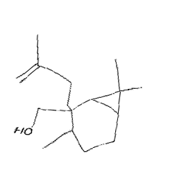 C=C(C)CC1(CO)C(C)CCC2C1C2(C)C